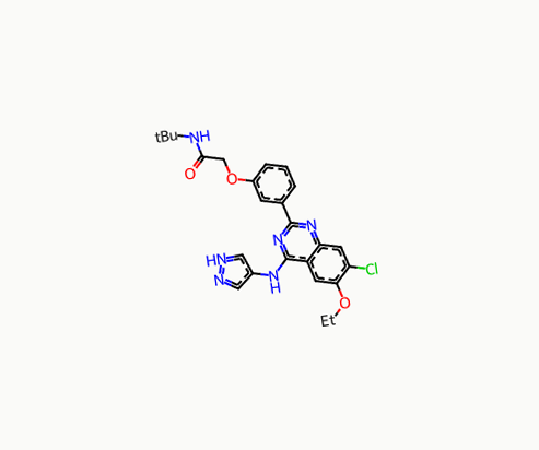 CCOc1cc2c(Nc3cn[nH]c3)nc(-c3cccc(OCC(=O)NC(C)(C)C)c3)nc2cc1Cl